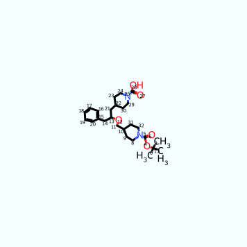 CC(C)(C)OC(=O)N1CCC(COC(Cc2ccccc2)CC2CCN(C(=O)O)CC2)CC1